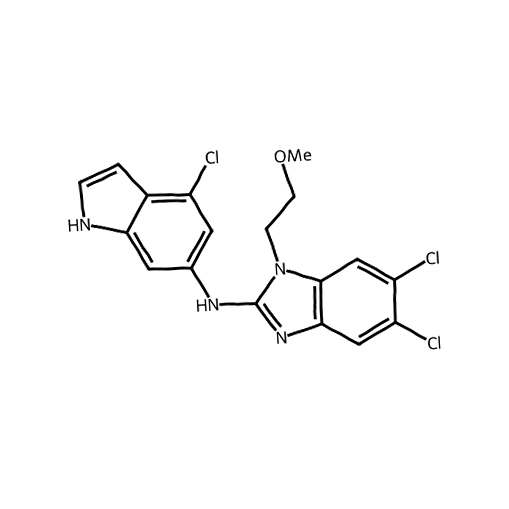 COCCn1c(Nc2cc(Cl)c3cc[nH]c3c2)nc2cc(Cl)c(Cl)cc21